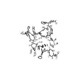 Cc1c(NC(=O)c2ccc(N(C)C)cc2)cccc1-c1cc(Nc2ccc(C(=O)N3CCOCC3)c(C(Cl)C(N)=O)c2)c(=O)n(C)c1